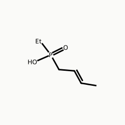 C/C=C/CP(=O)(O)CC